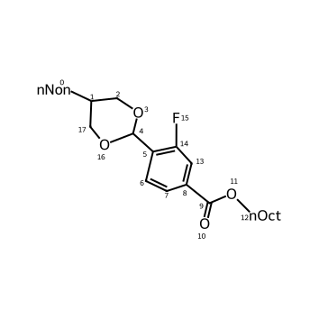 CCCCCCCCCC1COC(c2ccc(C(=O)OCCCCCCCC)cc2F)OC1